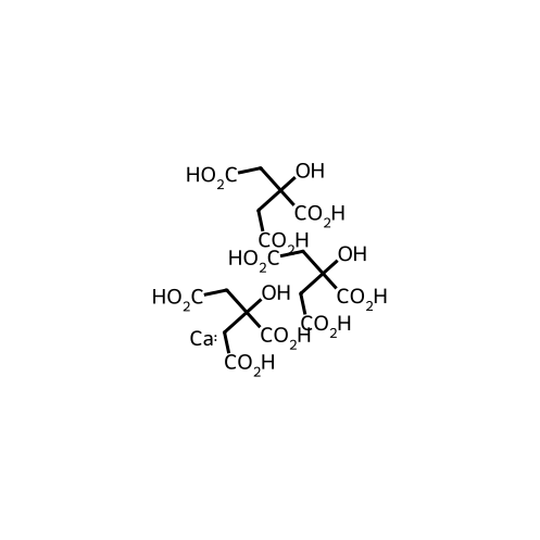 O=C(O)CC(O)(CC(=O)O)C(=O)O.O=C(O)CC(O)(CC(=O)O)C(=O)O.O=C(O)CC(O)(CC(=O)O)C(=O)O.[Ca]